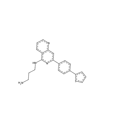 NCCCNc1nc(-c2ccc(-c3cccs3)cc2)cc2ncccc12